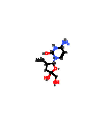 CO[C@@H]1C[C@@](O)(CO)O[C@H]1n1ccc(N)nc1=O